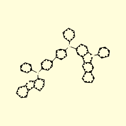 c1ccc(N(c2ccc(-c3ccc(N(c4ccccc4)c4cccc5c4oc4ccccc45)cc3)cc2)c2ccc3c(c2)c2cc4ccccc4cc2n3-c2ccccc2)cc1